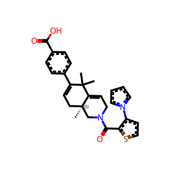 CC1(C)C(c2ccc(C(=O)O)cc2)=CC[C@]2(C)CN(C(=O)c3sccc3-n3cccc3)CC=C12